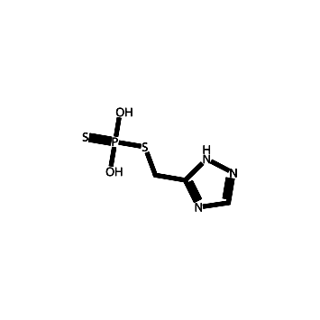 OP(O)(=S)SCc1ncn[nH]1